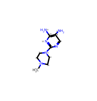 CN1CCN(c2ncc(N)c(N)n2)CC1